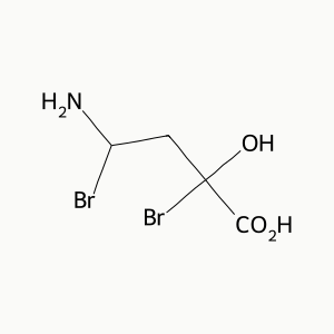 NC(Br)CC(O)(Br)C(=O)O